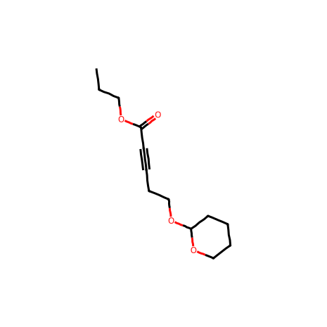 CCCOC(=O)C#CCCOC1CCCCO1